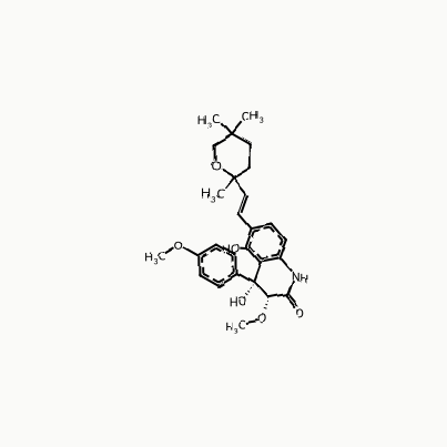 COc1ccc([C@@]2(O)c3c(ccc(/C=C/C4(C)CCC(C)(C)CO4)c3O)NC(=O)[C@@H]2OC)cc1